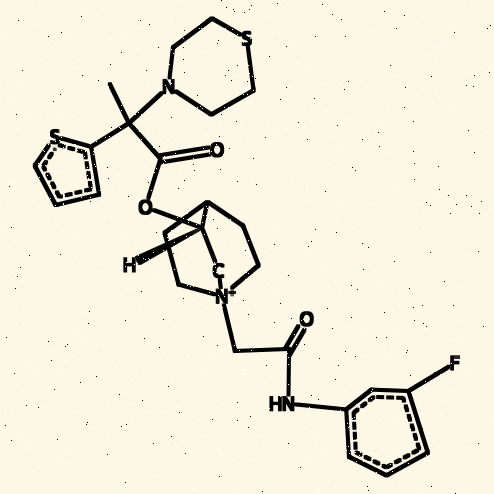 CC(C(=O)O[C@H]1C[N+]2(CC(=O)Nc3cccc(F)c3)CCC1CC2)(c1cccs1)N1CCSCC1